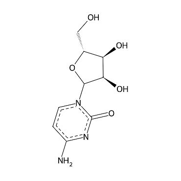 Nc1ccn(C2O[C@H](CO)[C@@H](O)[C@H]2O)c(=O)n1